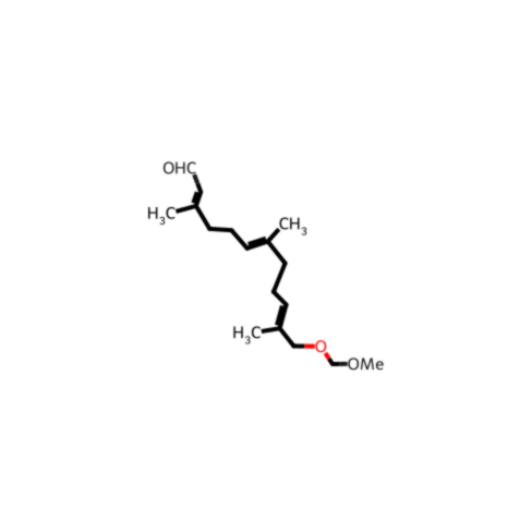 COCOCC(C)=CCCC(C)=CCCC(C)=CC=O